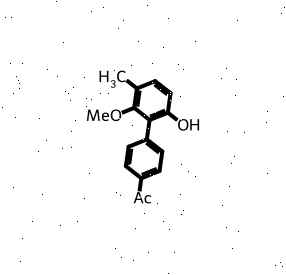 COc1c(C)ccc(O)c1-c1ccc(C(C)=O)cc1